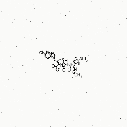 CO/N=C(\C(=O)N[C@@H]1C(=O)N2C(C(=O)[O-])=C(Cn3cc[n+]4nc(Cl)ccc34)CS[C@H]12)c1csc(N)n1